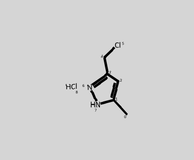 Cc1cc(CCl)n[nH]1.Cl